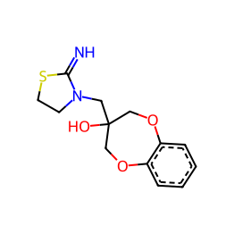 N=C1SCCN1CC1(O)COc2ccccc2OC1